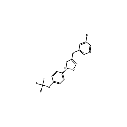 FC(F)(F)Oc1ccc([C@H]2CC(Oc3cncc(Br)c3)=NO2)cc1